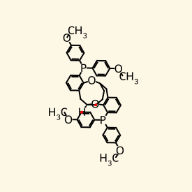 COc1ccc(P(c2ccc(OC)cc2)c2cccc3c2OC2CCC[C@H](C3)Oc3c(cccc3P(c3ccc(OC)cc3)c3ccc(OC)cc3)C2)cc1